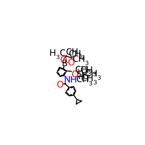 CC1(C)OB(c2cccc(NC(=O)c3ccc(C4CC4)cc3)c2CO[Si](C)(C)C(C)(C)C)OC1(C)C